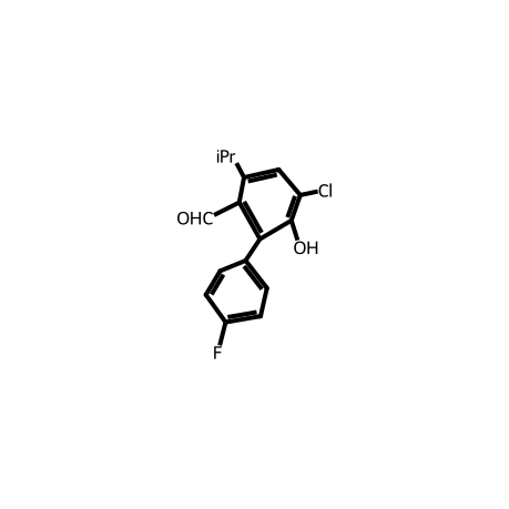 CC(C)c1cc(Cl)c(O)c(-c2ccc(F)cc2)c1C=O